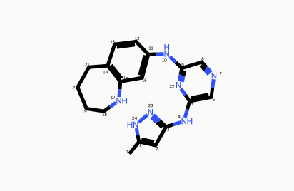 Cc1cc(Nc2cncc(Nc3ccc4c(c3)NCCCC4)n2)n[nH]1